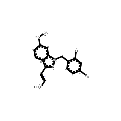 O=C(O)/C=C/c1nn(Cc2ccc(F)cc2Cl)c2cc(OC(F)(F)F)ccc12